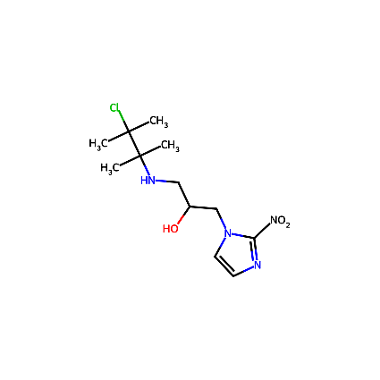 CC(C)(Cl)C(C)(C)NCC(O)Cn1ccnc1[N+](=O)[O-]